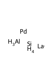 [AlH3].[La].[Pd].[SiH4]